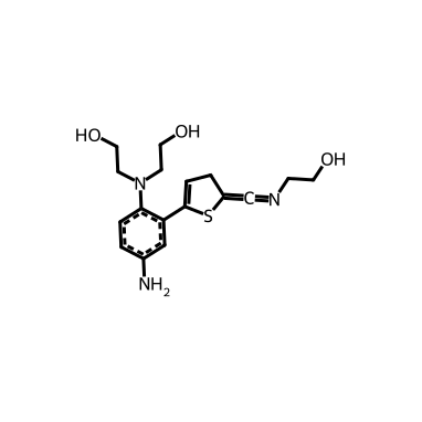 Nc1ccc(N(CCO)CCO)c(C2=CCC(=C=NCCO)S2)c1